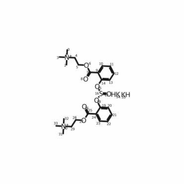 C[N+](C)(C)CCOC(=O)c1ccccc1OS(=O)Oc1ccccc1C(=O)OCC[N+](C)(C)C.[KH].[KH]